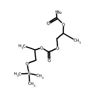 CC(CO[Si](C)(C)C)OC(=O)OCC(C)OC(=O)C(C)(C)C